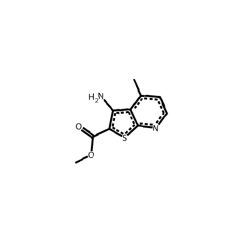 COC(=O)c1sc2nccc(C)c2c1N